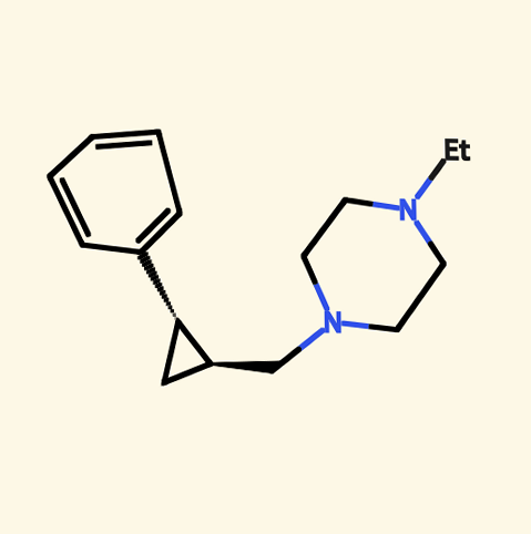 CCN1CCN(C[C@H]2C[C@@H]2c2ccccc2)CC1